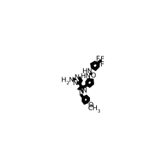 COc1ccc(Cn2cc(-c3ccnc(N)n3)c(-c3cccc(NC(=O)Nc4ccc(C(F)(F)F)cc4)c3)n2)cc1